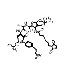 CC(C)C(NC(=O)C1OC2OC(C)(C)OC2C1NC(=O)CCCCCN1C(=O)C=CC1=O)C(=O)NC(CCCNC(N)=O)C(=O)Nc1ccc(CCNF)cc1